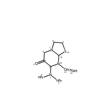 CCCN(CCC)C1C(=O)CN2CCSC2N1O.[NaH]